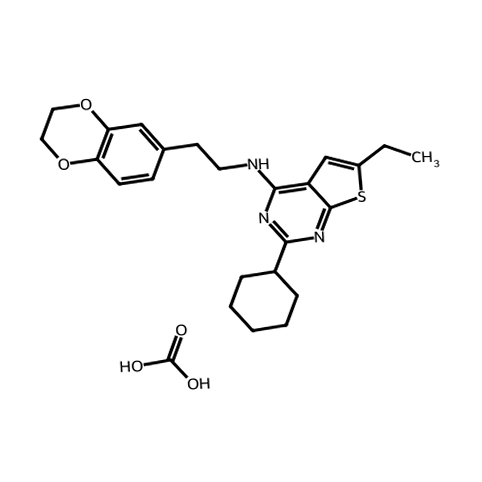 CCc1cc2c(NCCc3ccc4c(c3)OCCO4)nc(C3CCCCC3)nc2s1.O=C(O)O